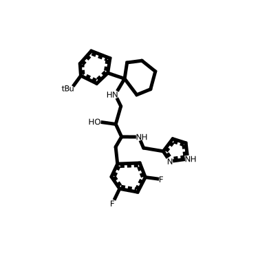 CC(C)(C)c1cccc(C2(NCC(O)C(Cc3cc(F)cc(F)c3)NCc3cc[nH]n3)CCCCC2)c1